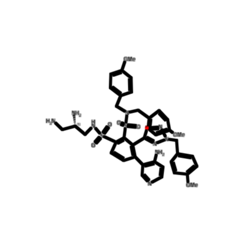 COc1ccc(CN(Cc2ccc(OC)cc2)S(=O)(=O)c2c(S(=O)(=O)NC[C@@H](N)CN)ccc(-c3cnccc3N)c2-c2nnn(Cc3ccc(OC)cc3)n2)cc1